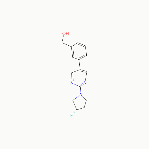 OCc1cccc(-c2cnc(N3CC[C@H](F)C3)nc2)c1